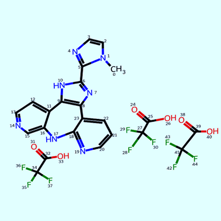 Cn1ccnc1-c1nc2c([nH]1)-c1ccncc1Nc1ncccc1-2.O=C(O)C(F)(F)F.O=C(O)C(F)(F)F.O=C(O)C(F)(F)F